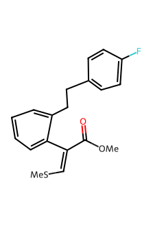 COC(=O)/C(=C/SC)c1ccccc1CCc1ccc(F)cc1